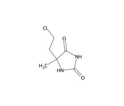 CC1(CCCl)NC(=O)NC1=O